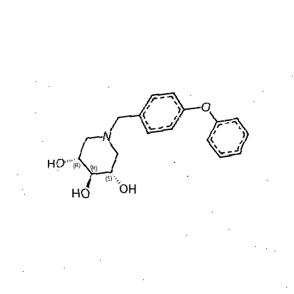 O[C@H]1[C@H](O)CN(Cc2ccc(Oc3ccccc3)cc2)C[C@@H]1O